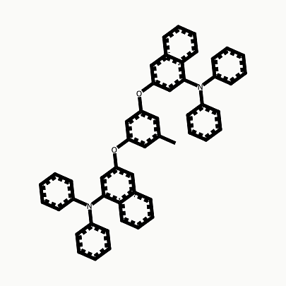 Cc1cc(Oc2cc(N(c3ccccc3)c3ccccc3)c3ccccc3c2)cc(Oc2cc(N(c3ccccc3)c3ccccc3)c3ccccc3c2)c1